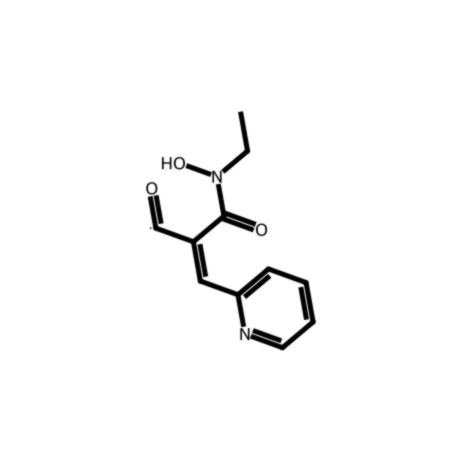 CCN(O)C(=O)C([C]=O)=Cc1ccccn1